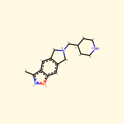 Cc1noc2cc3c(cc12)CN(CC1CCNCC1)C3